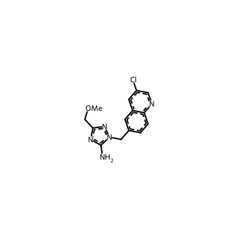 COCc1nc(N)n(Cc2ccc3ncc(Cl)cc3c2)n1